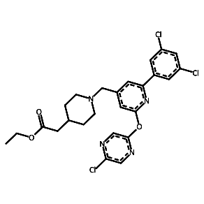 CCOC(=O)CC1CCN(Cc2cc(Oc3cnc(Cl)cn3)nc(-c3cc(Cl)cc(Cl)c3)c2)CC1